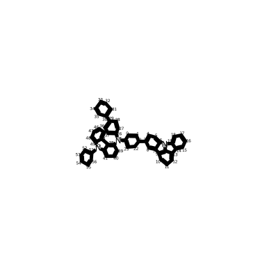 C1=CC(c2ccc3c(c2)c2cccc4c5ccccc5n3c42)CC=C1N(c1ccc(-c2ccccc2)cc1)c1cccc2c1c1ccccc1n2-c1ccccc1